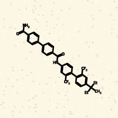 CCC(C)(CC)c1ccc(-c2ccc(NC(=O)c3ccc(-c4ccc(C(N)=O)cc4)cc3)cc2C(F)(F)F)c(C(F)(F)F)c1